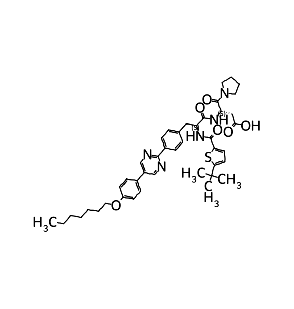 CCCCCCCOc1ccc(-c2cnc(-c3ccc(C[C@H](NC(=O)c4ccc(C(C)(C)C)s4)C(=O)N[C@@H](CC(=O)O)C(=O)N4CCCC4)cc3)nc2)cc1